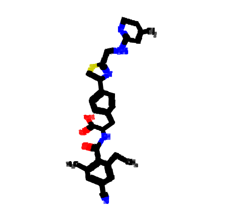 CCc1cc(C#N)cc(C)c1C(=O)NC(Cc1ccc(-c2csc(CNc3cc(C)ccn3)n2)cc1)C(=O)O